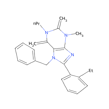 C=C1c2c(nc(-c3ccccc3CC)n2Cc2ccccc2)N(C)C(=C)N1CCC